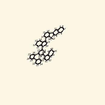 CC1(C)c2cc3ccccc3cc2-c2cccc(-c3ccc(-c4cc(-c5ccccc5-c5ccccc5)nc(-c5cccc6ccccc56)n4)c4ccccc34)c21